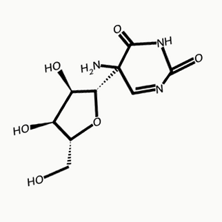 NC1([C@@H]2O[C@H](CO)[C@@H](O)[C@H]2O)C=NC(=O)NC1=O